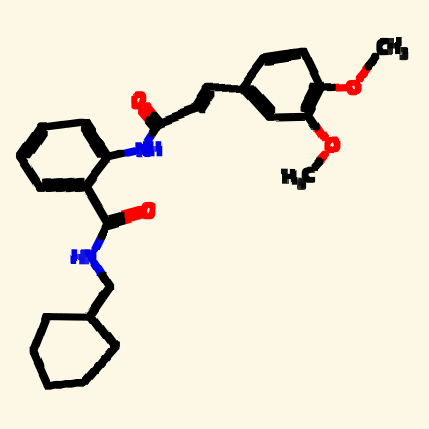 COc1ccc(C=CC(=O)Nc2ccccc2C(=O)NCC2CCCCC2)cc1OC